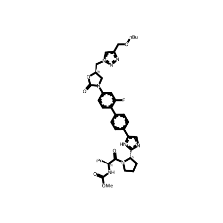 CCCCOCc1cn(C[C@H]2CN(c3ccc(-c4ccc(-c5cnc([C@@H]6CCCN6C(=O)[C@@H](NC(=O)OC)C(C)C)[nH]5)cc4)c(F)c3)C(=O)O2)nn1